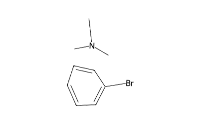 Brc1ccccc1.CN(C)C